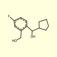 OCc1cc(F)ccc1C(O)C1CCCC1